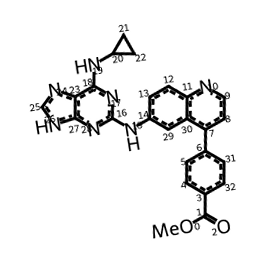 COC(=O)c1ccc(-c2ccnc3ccc(Nc4nc(NC5CC5)c5nc[nH]c5n4)cc23)cc1